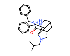 CC(C)CN1CC2CC3CNC2(C(=O)NCc2ccccc2)C1C3Cc1ccccc1